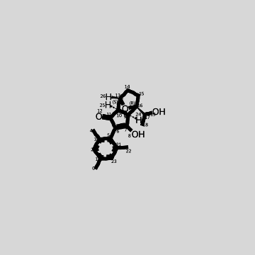 Cc1cc(C)c(C2=C(O)[C@H]3[C@@H](C2=O)[C@@H]2CC[C@@]3(C(C)O)O2)c(C)c1